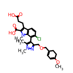 COC1=CC=C(COCc2nn(C)c(C)c2-c2c(Cl)ccc3c(CCC(=O)O)c(C(=O)O)n(C)c23)CC1